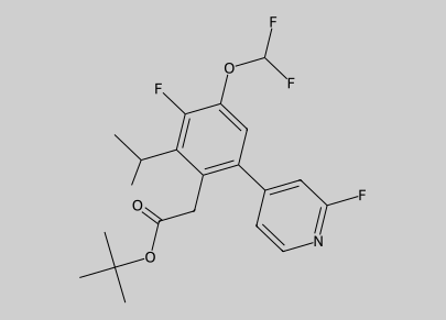 CC(C)c1c(F)c(OC(F)F)cc(-c2ccnc(F)c2)c1CC(=O)OC(C)(C)C